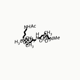 CNC(=O)C[N+](C)(C)CC(=O)NCCC[Si](C)(C)O[Si](C)(C)CCCCNC(C)=O